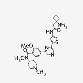 COc1cc(-c2cncc(-c3cc(NC(=O)CC4(N)CCC4)cs3)n2)ccc1C(=O)N(C)C1CCN(C)CC1